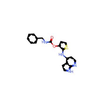 O=C(NCc1ccccc1)Oc1ccsc1Nc1ccnc2[nH]ccc12